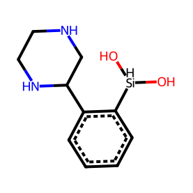 O[SiH](O)c1ccccc1C1CNCCN1